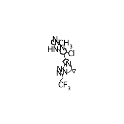 Cn1nccc1Nc1cc(-c2cc3n(c2)CC2(CC2)Cn2c(CCC(F)(F)F)nnc2-3)c(Cl)cn1